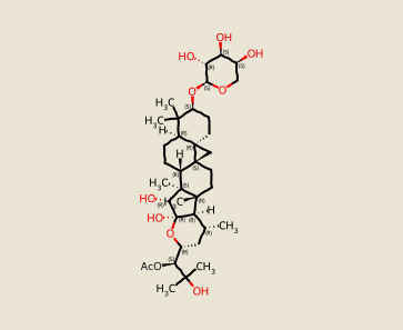 CC(=O)O[C@@H]([C@H]1C[C@@H](C)[C@H]2[C@@](O)(O1)[C@H](O)[C@@]1(C)[C@@H]3CC[C@H]4C(C)(C)[C@@H](O[C@@H]5OC[C@H](O)[C@H](O)[C@H]5O)CC[C@@]45C[C@@]35CC[C@]21C)C(C)(C)O